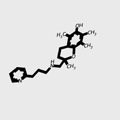 Cc1c(C)c2c(c(C)c1O)CCC(C)(CNCCCc1ccccn1)O2